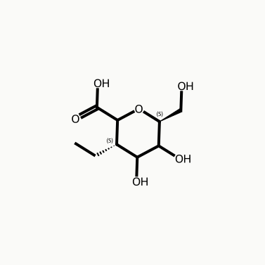 CC[C@@H]1C(C(=O)O)O[C@@H](CO)C(O)C1O